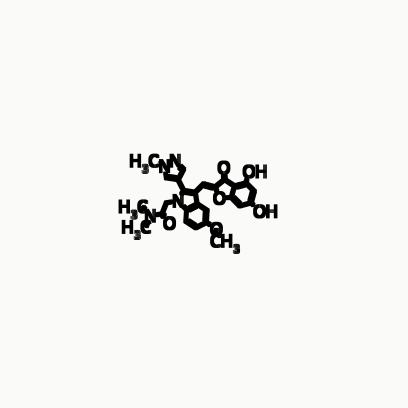 COc1ccc2c(c1)c(/C=C1\Oc3cc(O)cc(O)c3C1=O)c(-c1cnn(C)c1)n2CC(=O)N(C)C